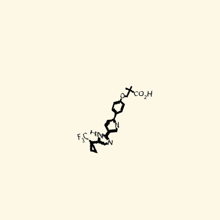 CC(C)(COc1ccc(-c2ccc(-c3ncc(C4(C(F)(F)F)CC4)[nH]3)cn2)cc1)C(=O)O